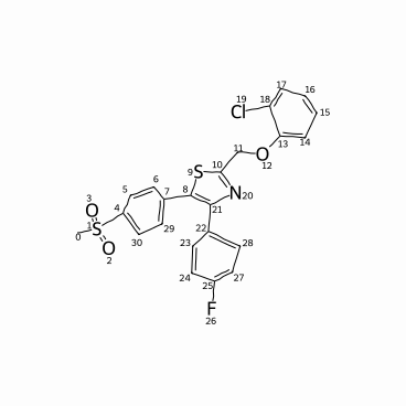 CS(=O)(=O)c1ccc(-c2sc(COc3ccccc3Cl)nc2-c2ccc(F)cc2)cc1